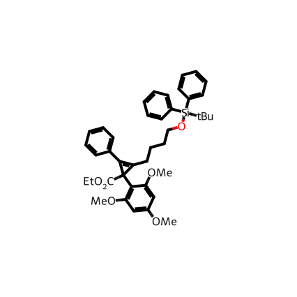 CCOC(=O)C1(c2c(OC)cc(OC)cc2OC)C(CCCCO[Si](c2ccccc2)(c2ccccc2)C(C)(C)C)=C1c1ccccc1